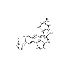 Cn1ccnc1-c1ccc(NC(=C2C(=O)Nc3cc(Br)ccc32)c2ccccc2)cc1